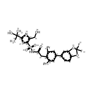 CC(C)c1cc(-c2ccc3c(c2)OC(F)(F)O3)cc(C(C)C)c1CC(=O)NS(=O)(=O)c1sc(C(C)(C)O)nc1CO